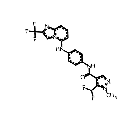 Cn1ncc(C(=O)Nc2ccc(Nc3cccc4nc(C(F)(F)F)cn34)cc2)c1C(F)F